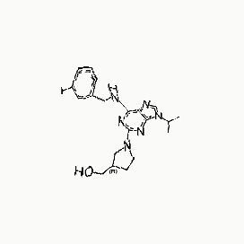 CC(C)n1cnc2c(NCc3cccc(I)c3)nc(N3CC[C@@H](CO)C3)nc21